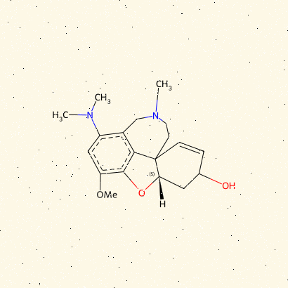 COc1cc(N(C)C)c2c3c1O[C@H]1CC(O)C=CC31CCN(C)C2